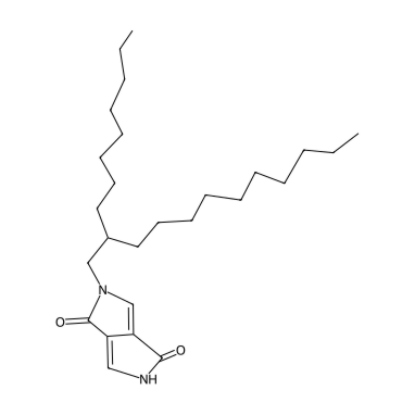 CCCCCCCCCCC(CCCCCCCC)CN1C=C2C(=O)NC=C2C1=O